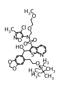 COCCOCN(c1onc(C)c1Cl)S(=O)(=O)c1c(C(O)c2cc3c(cc2CCO[Si](C)(C)C(C)(C)C)OCO3)sc2ncccc12